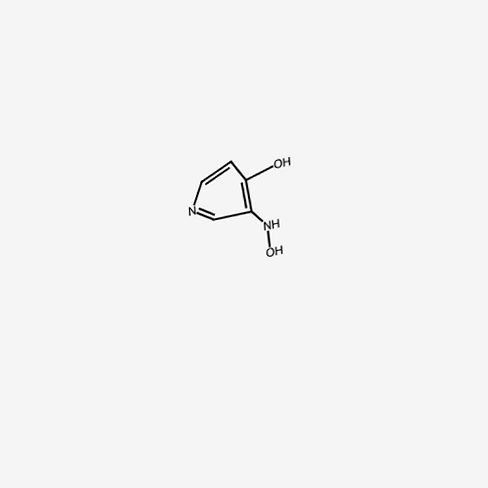 ONc1cnccc1O